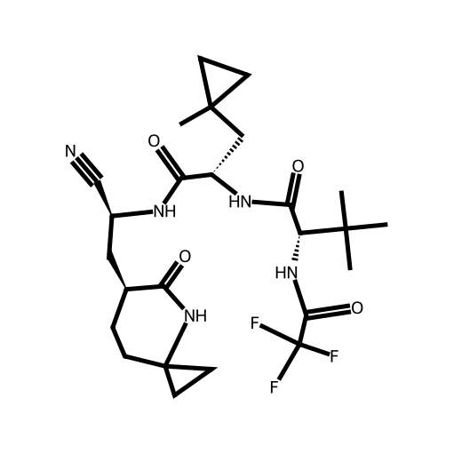 CC1(C[C@H](NC(=O)[C@@H](NC(=O)C(F)(F)F)C(C)(C)C)C(=O)N[C@H](C#N)C[C@@H]2CCC3(CC3)NC2=O)CC1